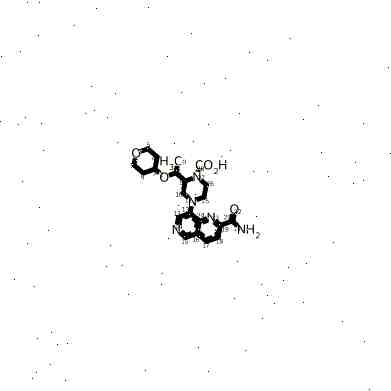 CC(OC1CCOCC1)C1CN(c2cncc3ccc(C(N)=O)nc23)CCN1C(=O)O